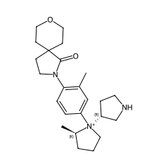 Cc1cc([N+]2([C@@H]3CCNC3)CCC[C@H]2C)ccc1N1CCC2(CCOCC2)C1=O